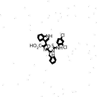 O=C(O)c1nc([C@H](Cc2ccccc2)NC(=S)Nc2ccc(Cl)cc2Cl)oc1-c1c[nH]c2ccccc12